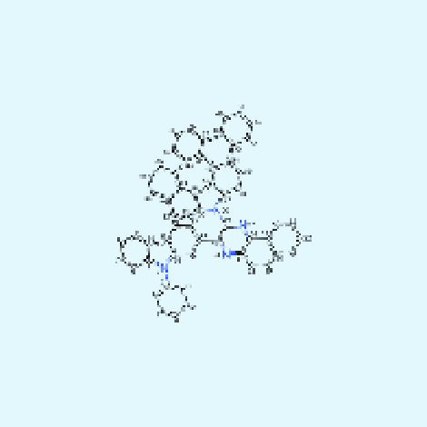 c1ccc(-n2c3ccccc3c3ccc(-c4nc5ccc6ccccc6c5nc4-n4c5ccc6ccccc6c5c5c6c7ccccc7c7ccccc7c6ccc54)cc32)cc1